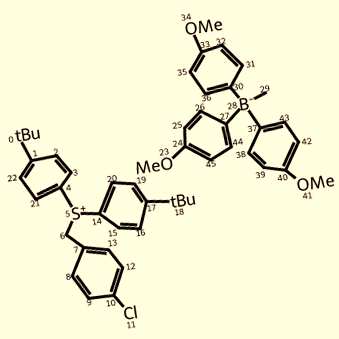 CC(C)(C)c1ccc([S+](Cc2ccc(Cl)cc2)c2ccc(C(C)(C)C)cc2)cc1.COc1ccc([B-](C)(c2ccc(OC)cc2)c2ccc(OC)cc2)cc1